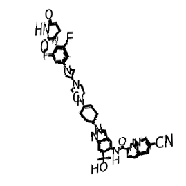 CC(C)(O)c1cc2nn(C3CCC(N4CCN(C5CN(c6cc(F)c([C@H]7CCC(=O)NC7=O)c(F)c6)C5)CC4)CC3)cc2cc1NC(=O)c1ccc2cc(C#N)cnn12